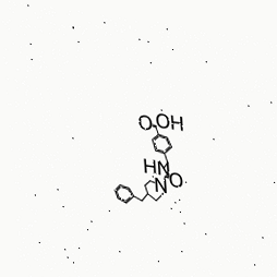 O=C(O)c1ccc(CNC(=O)N2CCC(Cc3ccccc3)CC2)cc1